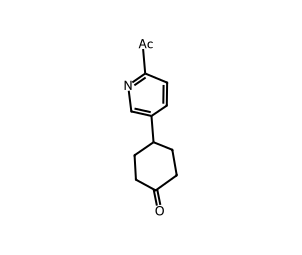 CC(=O)c1ccc(C2CCC(=O)CC2)cn1